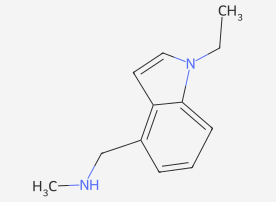 CCn1ccc2c(CNC)cccc21